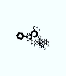 C[C@H]1C[C@H](O[Si](C)(C)C(C)(C)C)C[C@@]2(COC(c3ccccc3)O2)C1